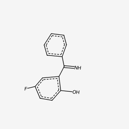 N=C(c1ccccc1)c1cc(F)ccc1O